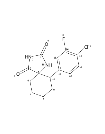 O=C1NC(=O)C2(CCCCC2c2ccc(Cl)c(F)c2)N1